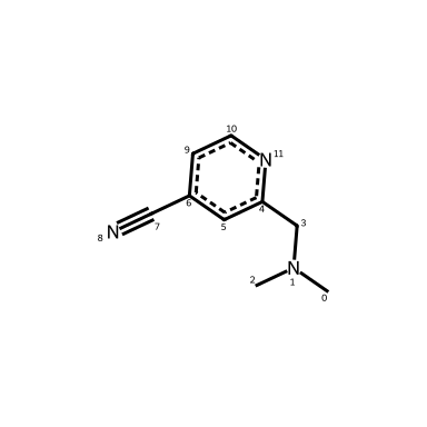 CN(C)Cc1cc(C#N)ccn1